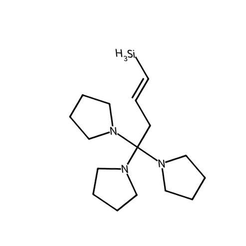 [SiH3]C=CCC(N1CCCC1)(N1CCCC1)N1CCCC1